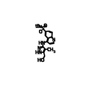 Cc1c(Nc2ccnc3ccc(S(=O)(=O)C(C)(C)C)cc23)n[nH]c1CO